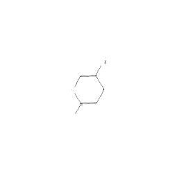 NC1CCC(C(F)(F)F)NC1